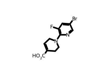 O=C(O)C1=CCN(c2ncc(Br)cc2F)CC1